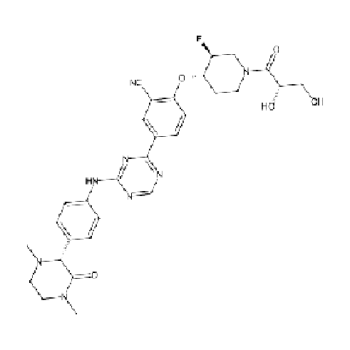 CN1CCN(C)[C@H](c2ccc(Nc3ncnc(-c4ccc(O[C@H]5CCN(C(=O)[C@@H](O)CO)C[C@@H]5F)c(C#N)c4)n3)cc2)C1=O